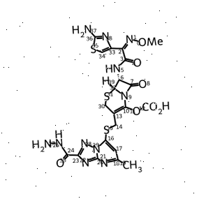 CO/N=C(\C(=O)N[C@@H]1C(=O)N2C(OC(=O)O)=C(CSc3cc(C)nc4nc(C(=O)NN)nn34)CS[C@H]12)c1csc(N)n1